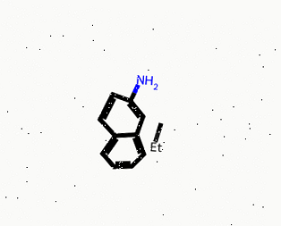 CCC.Nc1ccc2ccccc2c1